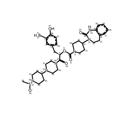 Bc1cc(C[C@@H](OC(=O)N2CCC(N3CCc4ccccc4NC3=O)CC2)C(=O)N2CCN(C3CCN([S+](C)[O-])CC3)CC2)ccc1O